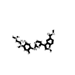 COC(=O)c1ccc2c(c1)c(-c1ccnc(Nc3cc(N)c(N(C)CCN(C)C)cc3C)n1)cn2C